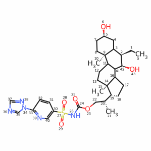 CC[C@@H]1C2C[C@H](O)CC[C@]2(C)C2CC[C@@]3(C)C(CC[C@@H]3[C@H](C)COC(=O)NS(=O)(=O)c3ccc(-n4cncn4)nc3)C2[C@@H]1O